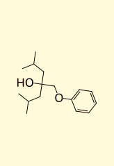 CC(C)CC(O)(COc1ccccc1)CC(C)C